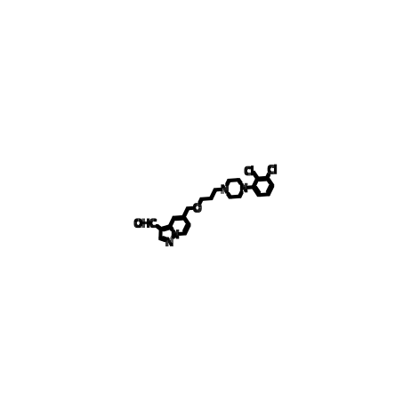 O=Cc1cnn2ccc(COCCCN3CCN(c4cccc(Cl)c4Cl)CC3)cc12